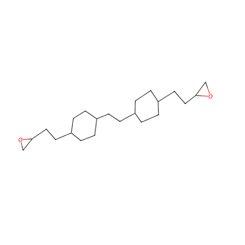 C(CC1CCC(CCC2CO2)CC1)C1CCC(CCC2CO2)CC1